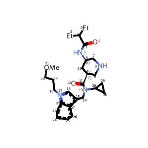 CCC(CC)C(=O)N[C@H]1CNC[C@@H](C(=O)N(Cc2cn(CCCOC)c3ccccc23)C2CC2)C1